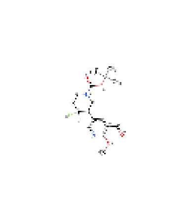 COc1ncc(C2CN(C(=O)OC(C)(C)C)CCC2(F)F)cc1C=O